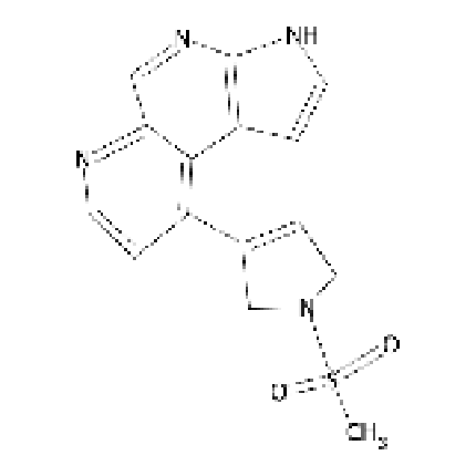 CS(=O)(=O)N1CC=C(c2ccnc3cnc4[nH]ccc4c23)C1